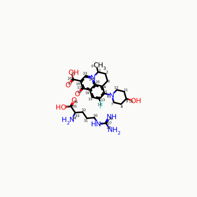 CC1CCc2c(N3CCC(O)CC3)c(F)cc3c(=O)c(C(=O)O)cn1c23.N=C(N)NCCCC(N)C(=O)O